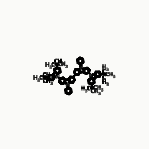 CC(C)(C)c1ccc2c(c1)c1cc(C(C)(C)C)ccc1n2-c1ccc2c(c1)c1cc(-c3ccc4c(c3)c3cc(-n5c6ccc(C(C)(C)C)cc6c6cc(C(C)(C)C)ccc65)ccc3n4-c3ccccc3)ccc1n2-c1ccccc1